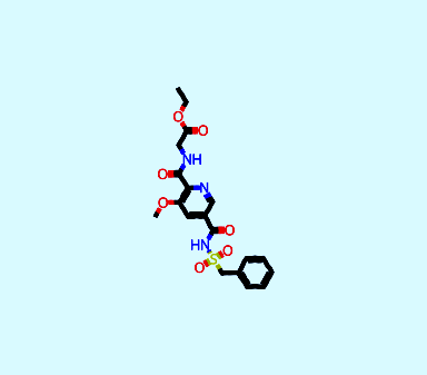 CCOC(=O)CNC(=O)c1ncc(C(=O)NS(=O)(=O)Cc2ccccc2)cc1OC